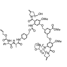 C=CCOC(=O)NC(C(=O)NC(C)C(=O)Nc1ccc(COC(=O)Nc2cc(OCc3cc(COc4cc5c(cc4OC)C(=O)N4CC(=C)C[C@H]4[C@H](OC4CCCCO4)N5C(=O)O)cc(C(=O)OC)c3)c(OC)cc2C(=O)N2CC(=C)C[C@H]2CO)cc1)C(C)C